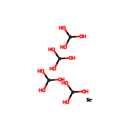 OB(O)O.OB(O)O.OB(O)O.OB(O)O.[Sc]